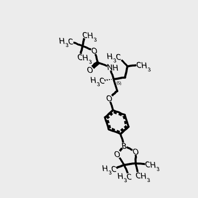 CC(C)C[C@@](C)(COc1ccc(B2OC(C)(C)C(C)(C)O2)cc1)NC(=O)OC(C)(C)C